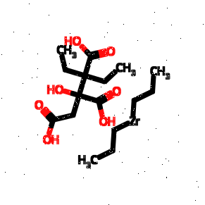 CCC(CC)(C(=O)O)C(O)(CC(=O)O)C(=O)O.CC[CH2][Zr][CH2]CC